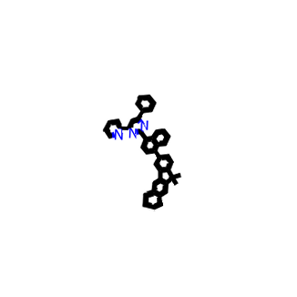 CC1(C)c2ccc(-c3ccc(-c4nc(-c5ccccc5)cc(-c5ccccn5)n4)c4ccccc34)cc2-c2cc3ccccc3cc21